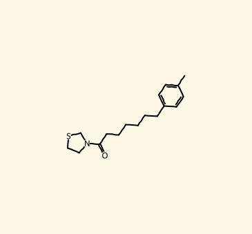 Cc1ccc(CCCCCCC(=O)N2CCSC2)cc1